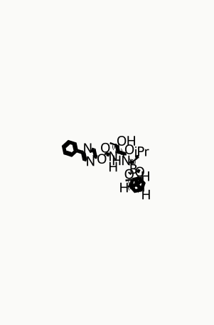 CC(C)C[C@H](NC(=O)[C@@H](NC(=O)Oc1cnc(-c2ccccc2)cn1)[C@@H](C)O)B1O[C@@H]2C[C@@H]3C[C@@H](C3(C)C)[C@]2(C)O1